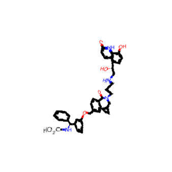 O=C(O)N[C@@H](c1ccccc1)c1cccc(OCc2ccc(C(=O)N(CCCNC[C@H](O)c3ccc(O)c4[nH]c(=O)ccc34)CC3CC3)cc2)c1